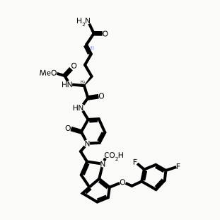 COC(=O)N[C@@H](CC/C=C/C(N)=O)C(=O)Nc1cccn(Cc2cc3cccc(OCc4ccc(F)cc4F)c3n2C(=O)O)c1=O